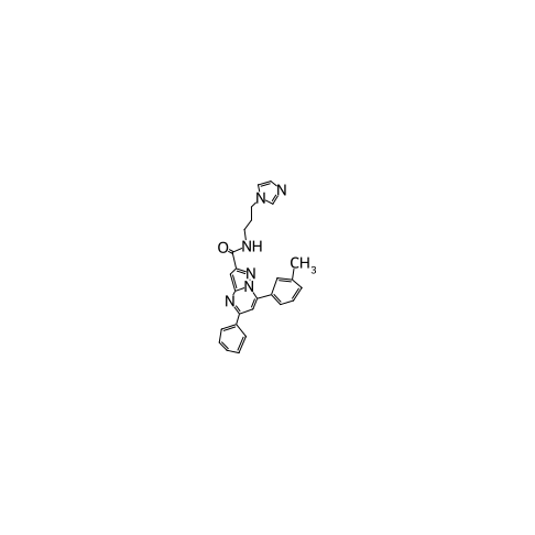 Cc1cccc(-c2cc(-c3ccccc3)nc3cc(C(=O)NCCCn4ccnc4)nn23)c1